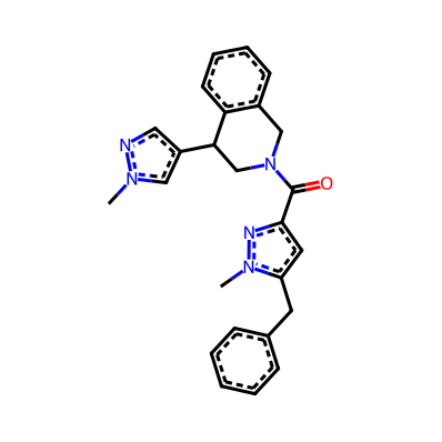 Cn1cc(C2CN(C(=O)c3cc(Cc4ccccc4)n(C)n3)Cc3ccccc32)cn1